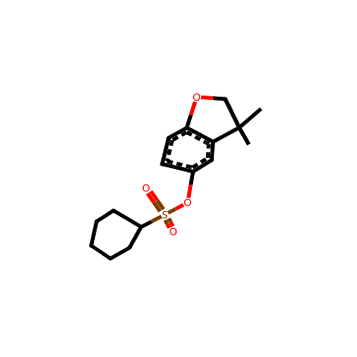 CC1(C)COc2ccc(OS(=O)(=O)C3CCCCC3)cc21